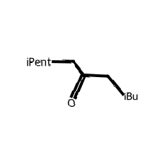 CCCC(C)CC(=O)CC(C)CC